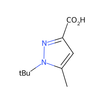 Cc1cc(C(=O)O)nn1C(C)(C)C